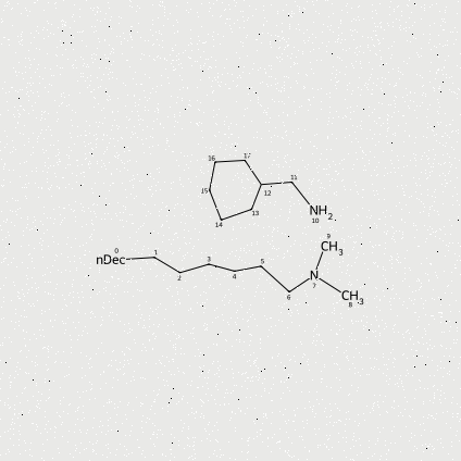 CCCCCCCCCCCCCCCCN(C)C.NCC1CCCCC1